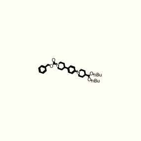 CCCCOC(OCCCC)C1CCN(c2ccc(C3CCN(C(=O)OCc4ccccc4)CC3)cc2)CC1